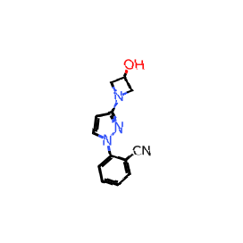 N#Cc1ccccc1-n1ccc(N2CC(O)C2)n1